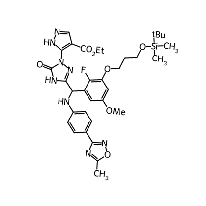 CCOC(=O)c1cn[nH]c1-n1nc(C(Nc2ccc(-c3noc(C)n3)cc2)c2cc(OC)cc(OCCCO[Si](C)(C)C(C)(C)C)c2F)[nH]c1=O